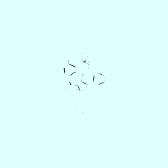 COCC[C@@H]1CNC(=O)c2c1[nH]c(-c1ccncc1OC[C@]1(C)CCO1)c2Nc1cccc(F)c1OC